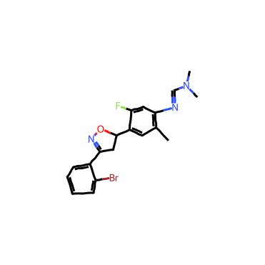 Cc1cc(C2CC(c3ccccc3Br)=NO2)c(F)cc1N=CN(C)C